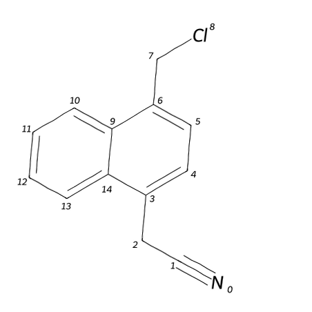 N#CCc1ccc(CCl)c2ccccc12